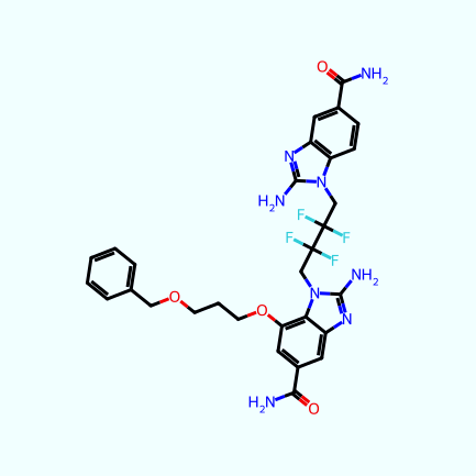 NC(=O)c1ccc2c(c1)nc(N)n2CC(F)(F)C(F)(F)Cn1c(N)nc2cc(C(N)=O)cc(OCCCOCc3ccccc3)c21